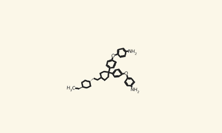 CC[C@H]1CC[C@H](CCC2CCC(c3ccc(Oc4ccc(N)cc4)cc3)(c3ccc(Oc4ccc(N)cc4)cc3)CC2)CC1